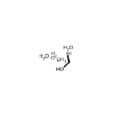 CC(=O)CO.O.O.O.O